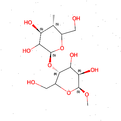 CO[C@H]1OC(CO)[C@H](O[C@@H]2OC(CO)[C@@H](C)[C@H](O)C2O)C(O)[C@H]1O